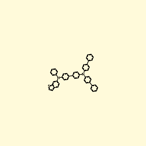 c1ccc(-c2ccc(N(c3ccc(-c4ccccc4)cc3)c3ccc(-c4ccc(N(c5ccccc5)c5ccc6ccsc6c5)cc4)cc3)cc2)cc1